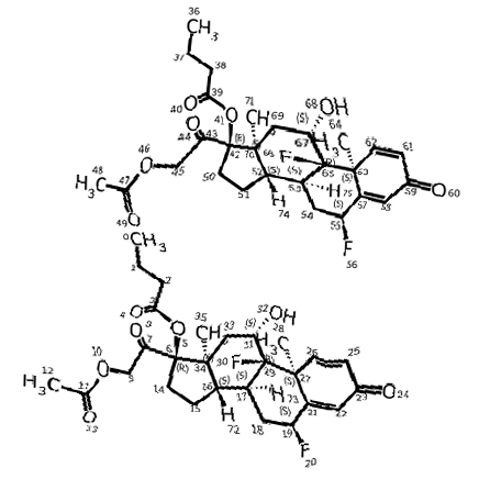 CCCC(=O)O[C@]1(C(=O)COC(C)=O)CC[C@H]2[C@@H]3C[C@H](F)C4=CC(=O)C=C[C@]4(C)[C@@]3(F)[C@@H](O)C[C@@]21C.CCCC(=O)O[C@]1(C(=O)COC(C)=O)CC[C@H]2[C@@H]3C[C@H](F)C4=CC(=O)C=C[C@]4(C)[C@@]3(F)[C@@H](O)C[C@@]21C